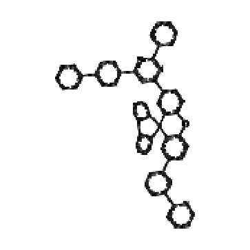 c1ccc(-c2ccc(-c3cc(-c4ccc5c(c4)C4(c6cc(-c7cccc(-c8ccccn8)c7)ccc6O5)c5ccccc5-c5ccccc54)nc(-c4ccccc4)n3)cc2)cc1